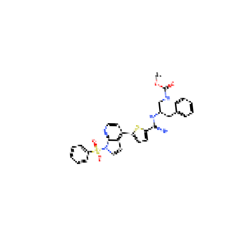 CC(C)(C)OC(=O)NCC(Cc1ccccc1)NC(=N)c1ccc(-c2ccnc3c2ccn3S(=O)(=O)c2ccccc2)s1